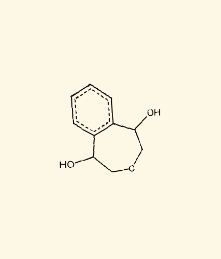 OC1COCC(O)c2ccccc21